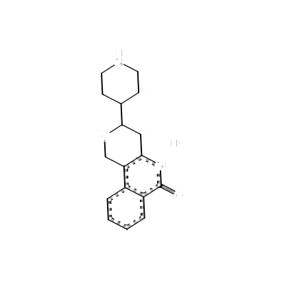 Cl.O=c1[nH]c2c(c3ccccc13)COC(C1CCNCC1)C2